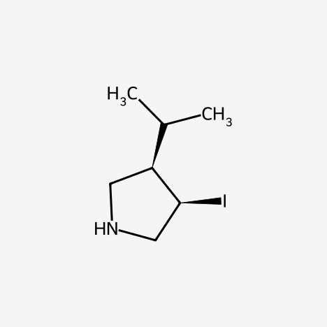 CC(C)[C@@H]1CNC[C@@H]1I